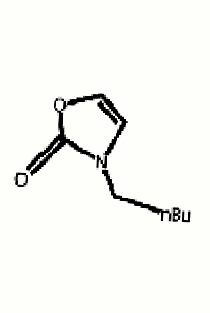 CCCCCn1ccoc1=O